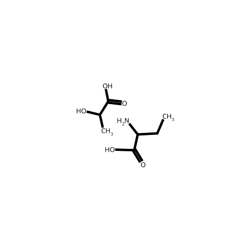 CC(O)C(=O)O.CCC(N)C(=O)O